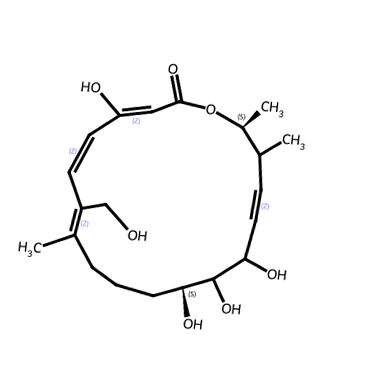 C\C1=C(CO)/C=C\C(O)=C\C(=O)O[C@@H](C)C(C)/C=C\C(O)C(O)[C@@H](O)CCC1